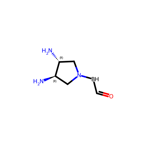 N[C@@H]1CN(BC=O)C[C@H]1N